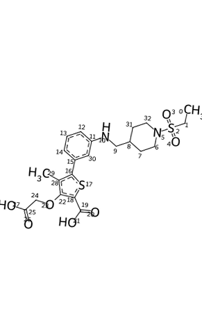 CCS(=O)(=O)N1CCC(CNc2cccc(-c3sc(C(=O)O)c(OCC(=O)O)c3C)c2)CC1